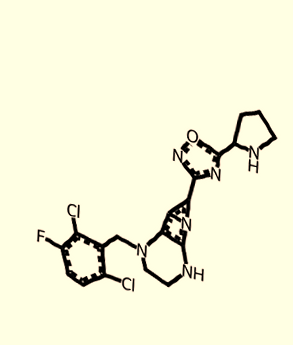 Fc1ccc(Cl)c(CN2CCNc3c2c2c(-c4noc(C5CCCN5)n4)n3-2)c1Cl